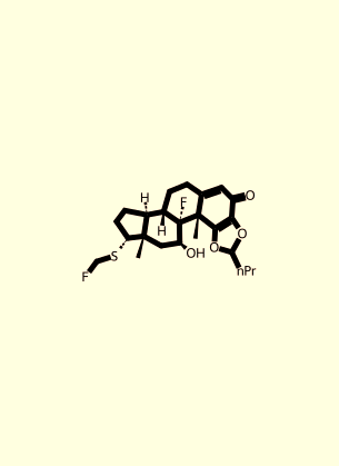 CCCC1OC2=C(O1)[C@@]1(C)C(=CC2=O)CC[C@H]2[C@@H]3CC[C@@H](SCF)[C@@]3(C)C[C@H](O)[C@@]21F